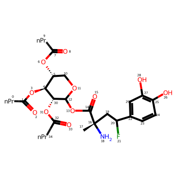 CCCC(=O)O[C@H]1[C@H](OC(=O)CCC)COC(OC(=O)[C@@](C)(N)CC(F)c2ccc(O)c(O)c2)[C@@H]1OC(=O)CCC